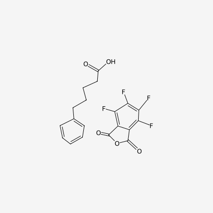 O=C(O)CCCCc1ccccc1.O=C1OC(=O)c2c(F)c(F)c(F)c(F)c21